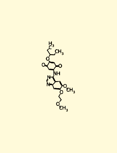 CCC(CC)OC1=CC(=O)C(Nc2ncnc3cc(OCCOC)c(OC)cc23)=CC1=O